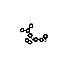 c1ccc(-c2cc(-c3ccccc3)cc(-c3ccc(N(c4ccc(-c5ccc6oc7ccccc7c6c5)cc4)c4cccc5ccccc45)cc3)c2)cc1